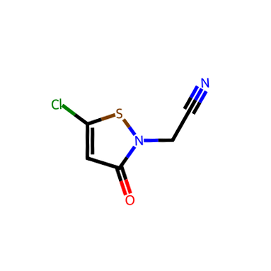 N#CCn1sc(Cl)cc1=O